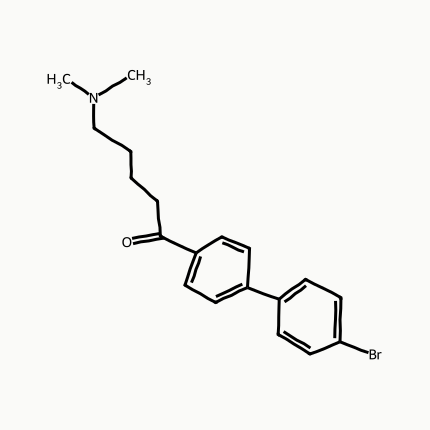 CN(C)CCCCC(=O)c1ccc(-c2ccc(Br)cc2)cc1